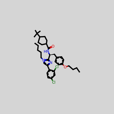 CCCCCn1cc(-c2ccc(Cl)cc2Cl)nc1[C@H](Cc1ccc(OCCCC)cc1)NC(=O)C1CCC(C(C)(C)C)CC1